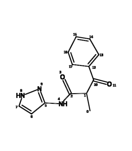 CC(C(=O)Nc1cc[nH]n1)C(=O)c1ccccc1